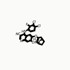 COc1cc2ncc(C#N)c(Nc3ccc(Cl)c(Cl)c3F)c2cc1OC1CC2CCC(C1)N2C